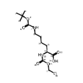 CC(C)(C)OC(=O)NCCCC[C@H](NC(=O)OCCl)C(=O)O